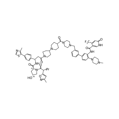 Cc1cc(C(C(=O)N2C[C@H](O)C[C@H]2C(=O)NC(CC(=O)N2CCC(N3CCC(C(=O)N4CCN(Cc5cccc(-c6ccc(N7CCN(C)CC7)c(NC(=O)c7c[nH]c(=O)cc7C(F)(F)F)c6)c5)CC4)CC3)CC2)c2ccc(-c3scnc3C)cc2)C(C)C)on1